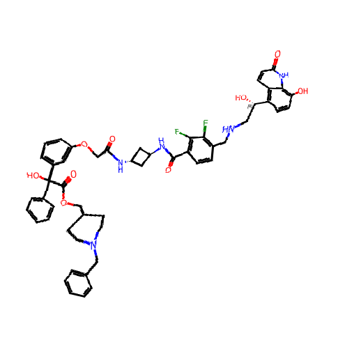 O=C(COc1cccc(C(O)(C(=O)OCC2CCN(Cc3ccccc3)CC2)c2ccccc2)c1)N[C@H]1C[C@H](NC(=O)c2ccc(CNC[C@H](O)c3ccc(O)c4[nH]c(=O)ccc34)c(F)c2F)C1